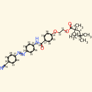 CC(C)(C)CC(C)(C)C(=O)OCCOc1ccc(C(=O)Nc2ccc(/N=N/c3ccc(C#N)cc3)cc2)cc1